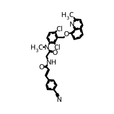 Cc1ccc2cccc(OCc3c(Cl)ccc(N(C)C(=O)CNC(=O)C=Cc4ccc(C#N)cc4)c3Cl)c2n1